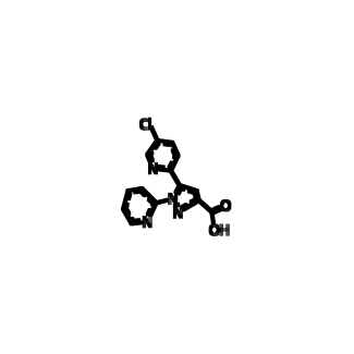 O=C(O)c1cc(-c2ccc(Cl)cn2)n(-c2ccccn2)n1